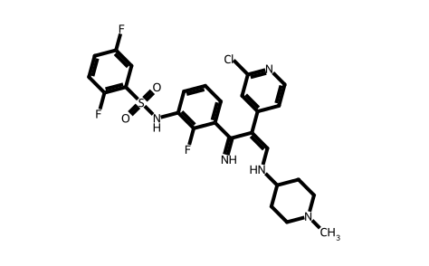 CN1CCC(N/C=C(\C(=N)c2cccc(NS(=O)(=O)c3cc(F)ccc3F)c2F)c2ccnc(Cl)c2)CC1